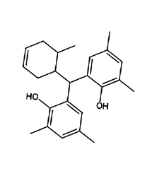 Cc1cc(C)c(O)c(C(c2cc(C)cc(C)c2O)C2CC=CCC2C)c1